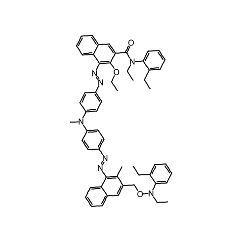 CCOc1c(C(=O)N(CC)c2ccccc2CC)cc2ccccc2c1N=Nc1ccc(N(C)c2ccc(N=Nc3c(C)c(CON(CC)c4ccccc4CC)cc4ccccc34)cc2)cc1